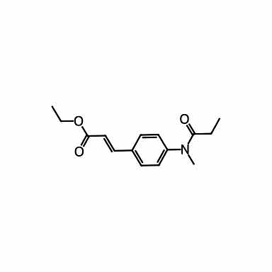 CCOC(=O)C=Cc1ccc(N(C)C(=O)CC)cc1